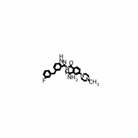 CN1CCN(c2ccc(C(=O)Nc3n[nH]c4ccc(Cc5cccc(F)c5)cc34)c(C(N)=O)c2)CC1